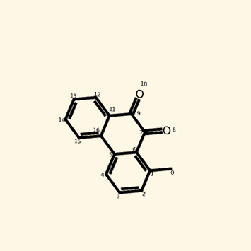 Cc1cccc2c1C(=O)C(=O)c1ccccc1-2